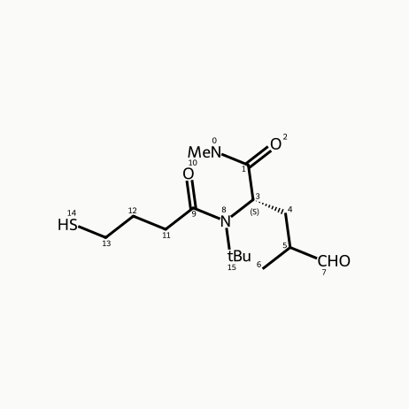 CNC(=O)[C@H](CC(C)C=O)N(C(=O)CCCS)C(C)(C)C